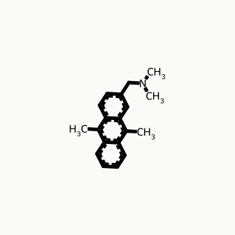 Cc1c2ccccc2c(C)c2cc(CN(C)C)ccc12